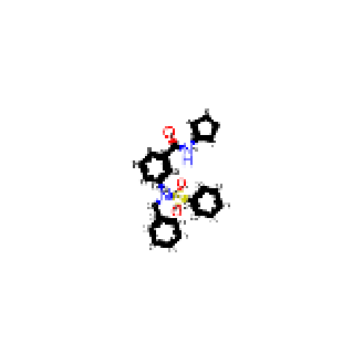 O=C(NC1CCCC1)c1cccc(N(Cc2ccccc2)S(=O)(=O)c2ccccc2)c1